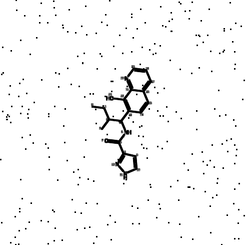 CCC(C)C(NC(=O)c1cc[nH]n1)c1ccc2cccnc2c1O